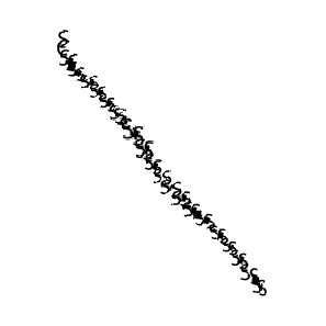 S=C=S=S=S=S=S=S=S=S=S=S=S=S=S=S=S=S=S=S=S=S=S=S=S=S=S=S=S=S=S=S=S=S=S=S=S=S=S=S